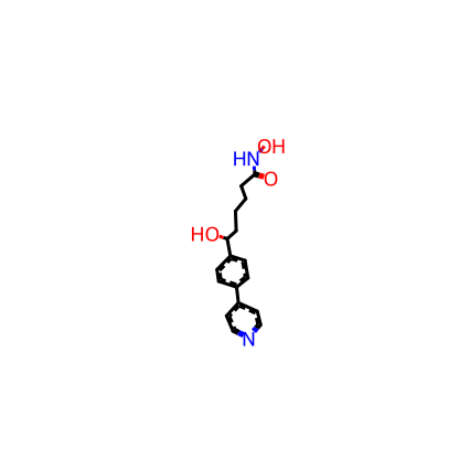 O=C(CCCCC(O)c1ccc(-c2ccncc2)cc1)NO